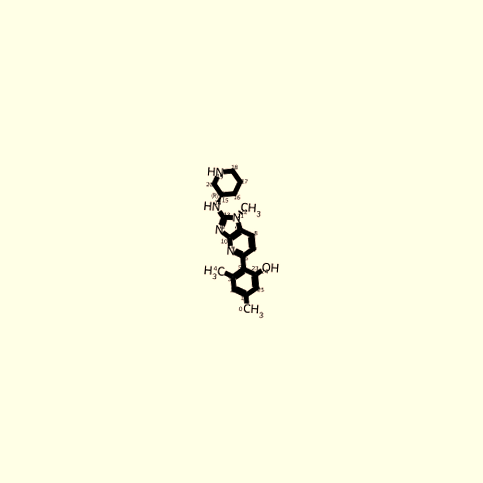 Cc1cc(C)c(-c2ccc3c(n2)nc(N[C@@H]2CCCNC2)n3C)c(O)c1